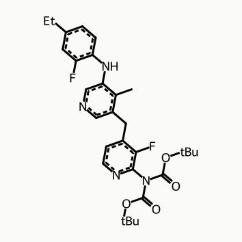 CCc1ccc(Nc2cncc(Cc3ccnc(N(C(=O)OC(C)(C)C)C(=O)OC(C)(C)C)c3F)c2C)c(F)c1